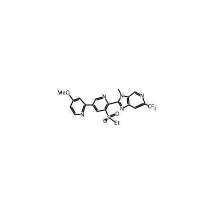 CCS(=O)(=O)c1cc(-c2cc(OC)ccn2)cnc1-c1nc2cc(C(F)(F)F)ncc2n1C